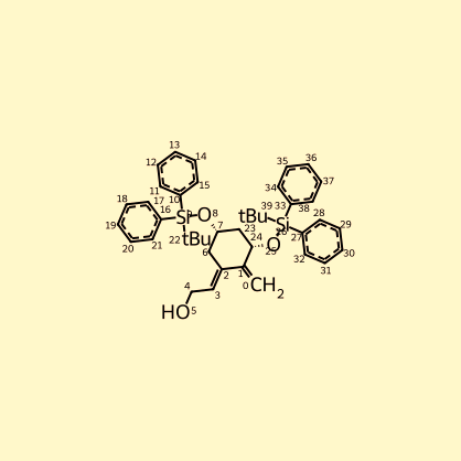 C=C1C(=CCO)C[C@H](O[Si](c2ccccc2)(c2ccccc2)C(C)(C)C)C[C@@H]1O[Si](c1ccccc1)(c1ccccc1)C(C)(C)C